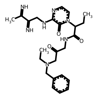 CCC(C(=O)NCC(=O)CN(CC)Cc1ccccc1)n1ccnc(NCC(=N)C(C)=N)c1=O